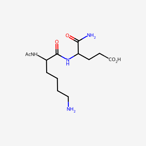 CC(=O)NC(CCCCN)C(=O)NC(CCC(=O)O)C(N)=O